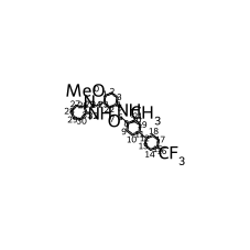 COc1ccc(NC(=O)c2ccc(-c3ccc(C(F)(F)F)cc3)cc2C)cc1-c1nc2ccccc2[nH]1